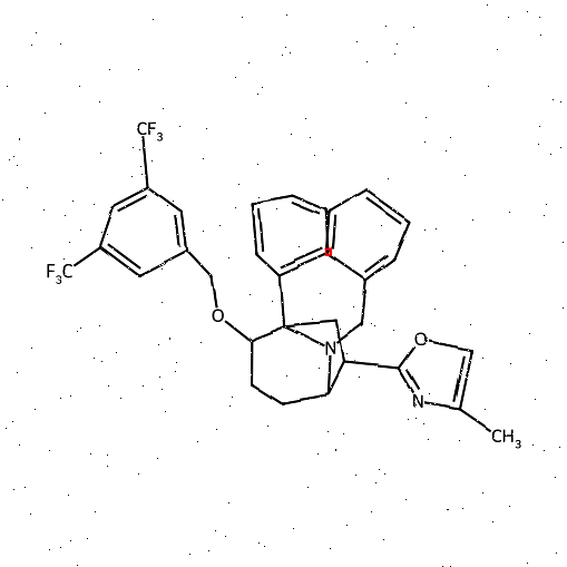 Cc1coc(C2CC3(c4ccccc4)C(OCc4cc(C(F)(F)F)cc(C(F)(F)F)c4)CCC2N3Cc2ccccc2)n1